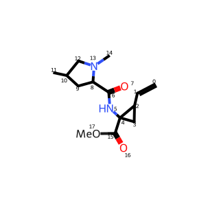 C=CC1CC1(NC(=O)C1CC(C)CN1C)C(=O)OC